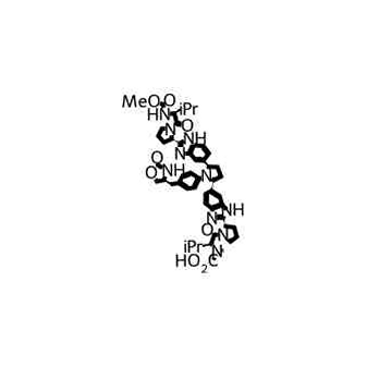 COC(=O)N[C@H](C(=O)N1CCC[C@H]1c1nc2cc([C@H]3CC[C@H](c4ccc5nc([C@@H]6CCCN6C(=O)[C@H](C(C)C)N(C)C(=O)O)[nH]c5c4)N3c3ccc(C[C@H]4COC(=O)N4)cc3)ccc2[nH]1)C(C)C